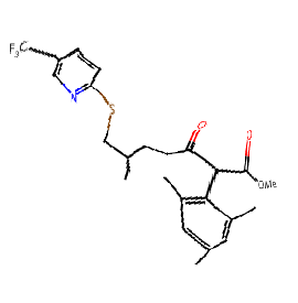 COC(=O)C(C(=O)CCC(C)CSc1ccc(C(F)(F)F)cn1)c1c(C)cc(C)cc1C